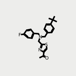 CC(=O)c1csc(CN(Cc2ccc(F)cc2)Cc2ccc(C(C)(C)C)cc2)n1